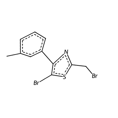 Cc1cccc(-c2nc(CBr)sc2Br)c1